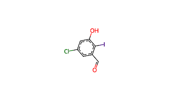 O=Cc1cc(Cl)cc(O)c1I